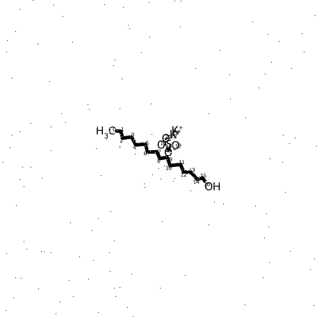 CCCCCCCCCCCCCCCCO.O=S(=O)([O-])[O-].[K+].[K+]